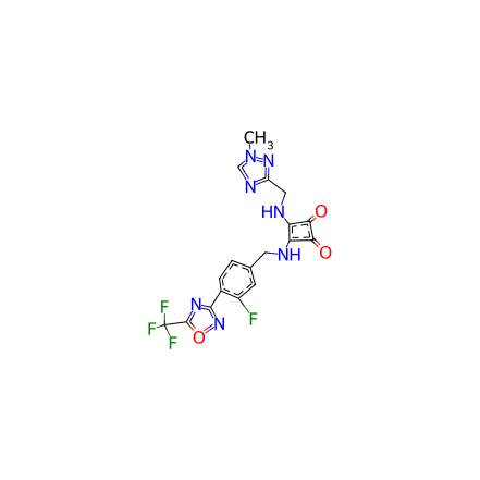 Cn1cnc(CNc2c(NCc3ccc(-c4noc(C(F)(F)F)n4)c(F)c3)c(=O)c2=O)n1